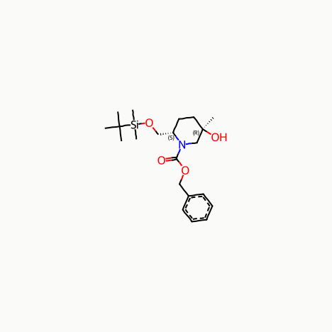 CC(C)(C)[Si](C)(C)OC[C@@H]1CC[C@@](C)(O)CN1C(=O)OCc1ccccc1